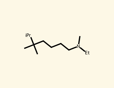 CCN(C)CCCCC(C)(C)C(C)C